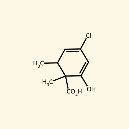 CC1C=C(Cl)C=C(O)C1(C)C(=O)O